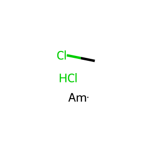 CCl.Cl.[Am]